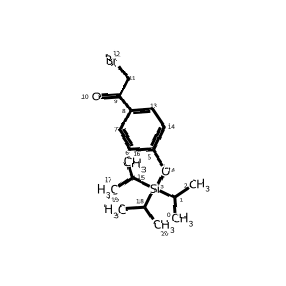 CC(C)[Si](Oc1ccc(C(=O)CBr)cc1)(C(C)C)C(C)C